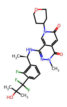 C[C@@H](Nc1nn(C)c(=O)c2cc(=O)n(C3CCOCC3)cc12)c1cccc(C(F)(F)C(C)(C)O)c1F